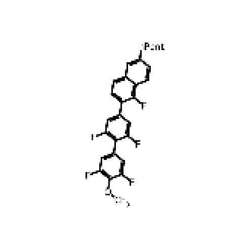 CCCCCc1ccc2c(F)c(-c3cc(F)c(-c4cc(F)c(OC(F)(F)F)c(F)c4)c(F)c3)ccc2c1